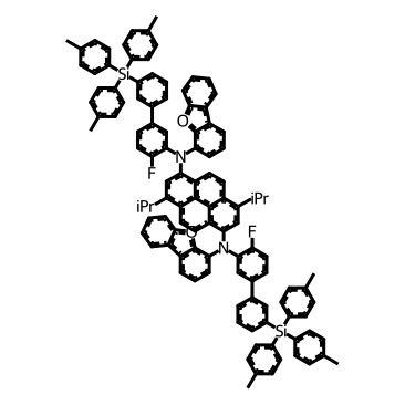 Cc1ccc([Si](c2ccc(C)cc2)(c2ccc(C)cc2)c2cccc(-c3ccc(F)c(N(c4cc(C(C)C)c5ccc6c(N(c7cc(-c8cccc([Si](c9ccc(C)cc9)(c9ccc(C)cc9)c9ccc(C)cc9)c8)ccc7F)c7cccc8c7oc7ccccc78)cc(C(C)C)c7ccc4c5c76)c4cccc5c4oc4ccccc45)c3)c2)cc1